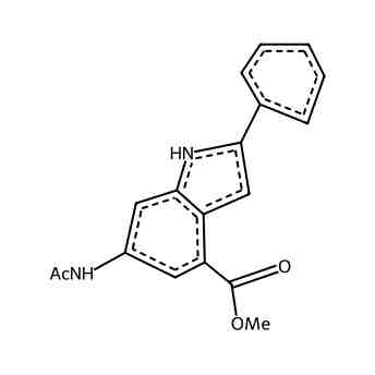 COC(=O)c1cc(NC(C)=O)cc2[nH]c(-c3ccccc3)cc12